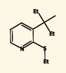 CCSc1ncccc1C(C)(CC)CC